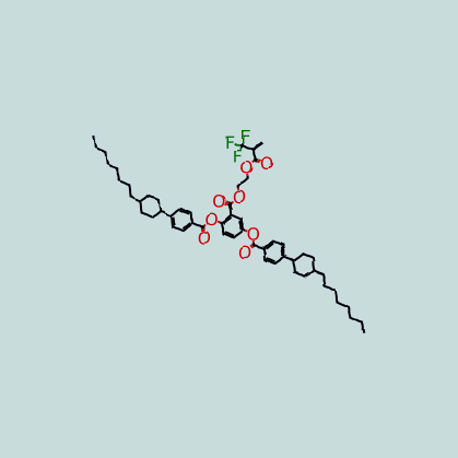 C=C(C(=O)OCCOC(=O)c1cc(OC(=O)c2ccc(C3CCC(CCCCCCCC)CC3)cc2)ccc1OC(=O)c1ccc(C2CCC(CCCCCCCC)CC2)cc1)C(F)(F)F